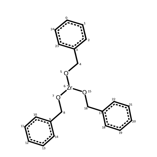 c1ccc(C[O][Zr]([O]Cc2ccccc2)[O]Cc2ccccc2)cc1